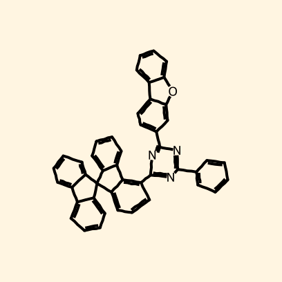 c1ccc(-c2nc(-c3ccc4c(c3)oc3ccccc34)nc(-c3cccc4c3-c3ccccc3C43c4ccccc4-c4ccccc43)n2)cc1